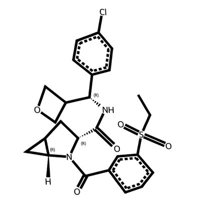 CCS(=O)(=O)c1cccc(C(=O)N2[C@@H](C(=O)N[C@@H](c3ccc(Cl)cc3)C3COC3)CC3C[C@H]32)c1